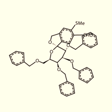 CSc1cc2c(cc1C=O)[C@]1(OC2)O[C@H](COCc2ccccc2)[C@H](OCc2ccccc2)[C@H](OCc2ccccc2)[C@H]1OCc1ccccc1